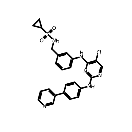 O=S(=O)(NCc1cccc(Nc2nc(Nc3ccc(-c4cccnc4)cc3)ncc2Cl)c1)C1CC1